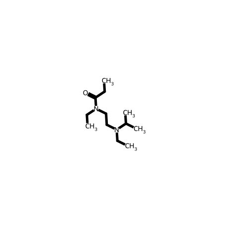 CCC(=O)N(CC)CCN(CC)C(C)C